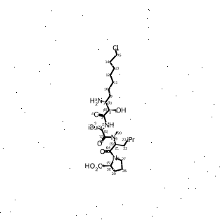 CC[C@H](C)[C@H](NC(=O)[C@H](O)[C@H](N)CCCCCCCCl)C(=O)N(C)[C@@H](CC(C)C)C(=O)N1CCC[C@H]1C(=O)O